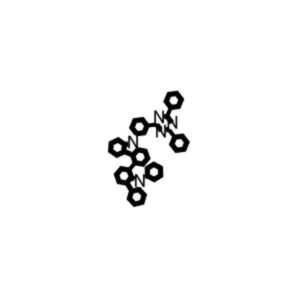 c1ccc(-c2nc(-c3ccccc3)nc(-c3cccc(-n4c5ccccc5c5c(-c6cccc7c8ccccc8n(-c8ccccc8)c67)cccc54)c3)n2)cc1